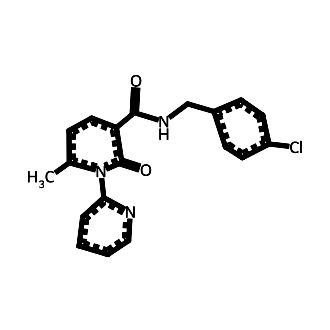 Cc1ccc(C(=O)NCc2ccc(Cl)cc2)c(=O)n1-c1ccccn1